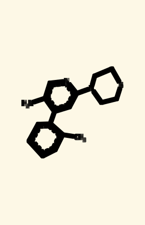 Cc1ccccc1-c1cc(N2CCSCC2)ncc1N